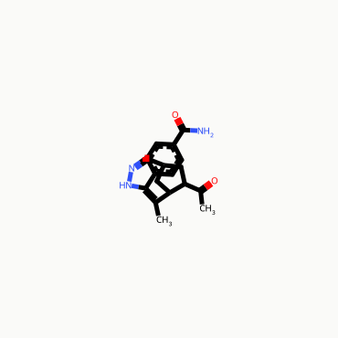 CC(=O)C1CC2/C=N\N/C(c3ccc(C(N)=O)cc3)=C(\C)C1C2